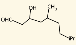 CC(C)CCC(C)CC(O)CC=O